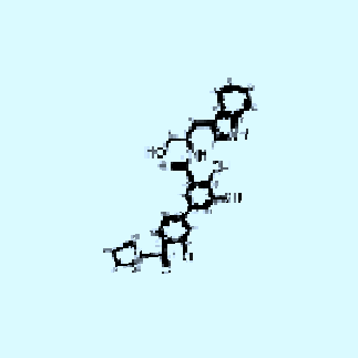 O=C(N[C@@H](CO)Cc1c[nH]c2ccccc12)c1cc(-c2ccc(C(=O)N3CCCC3)c(Cl)c2)cc(O)c1O